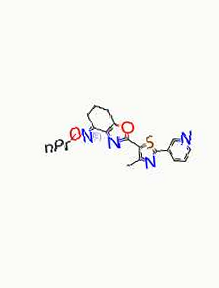 CCCO/N=C1\CCCc2oc(-c3sc(-c4cccnc4)nc3C)nc21